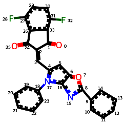 O=C1C(=Cc2cc3oc(-c4ccccc4)nc3n2-c2ccccc2)C(=O)c2c(F)ccc(F)c21